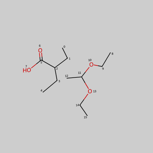 CCC(CC)C(=O)O.CCOC(C)OCC